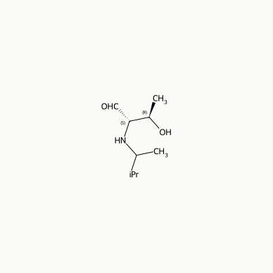 CC(C)C(C)N[C@H](C=O)[C@@H](C)O